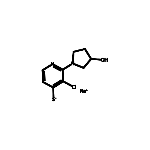 OC1CCN(c2nccc([S-])c2Cl)C1.[Na+]